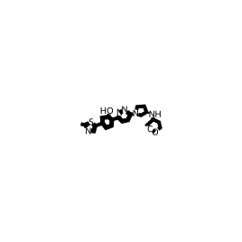 Cc1ncc(-c2ccc(-c3ccc(N4CC[C@@H](NC5CCOCC5)C4)nn3)c(O)c2)s1